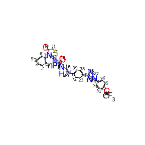 CCCc1ccc(C)cc1N1C(=O)CS/C1=N\C(=O)N/C=C(\C)c1ccc(-c2ncn(-c3ccc(OC(F)(F)F)cc3)n2)cc1